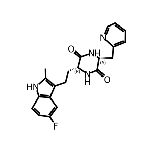 Cc1[nH]c2ccc(F)cc2c1CC[C@H]1NC(=O)[C@H](Cc2ccccn2)NC1=O